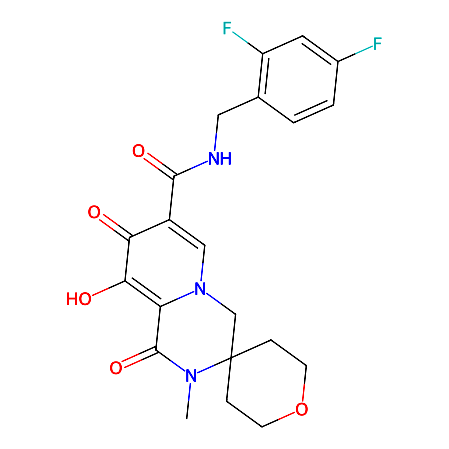 CN1C(=O)c2c(O)c(=O)c(C(=O)NCc3ccc(F)cc3F)cn2CC12CCOCC2